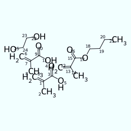 C=C(C)C(=O)O.C=C(C)C(=O)O.C=C(C)C(=O)OCCCC.OCCO